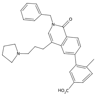 Cc1ccc(C(=O)O)cc1-c1ccc2c(=O)n(Cc3ccccc3)cc(CCCN3CCCC3)c2c1